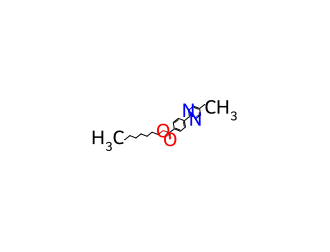 CCCCCCCCOC(=O)c1ccc(-c2ncc(CC)cn2)cc1